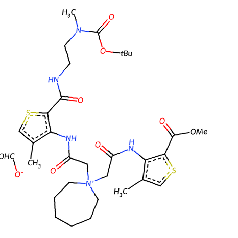 COC(=O)c1scc(C)c1NC(=O)C[N+]1(CC(=O)Nc2c(C)csc2C(=O)NCCN(C)C(=O)OC(C)(C)C)CCCCCC1.O=C[O-]